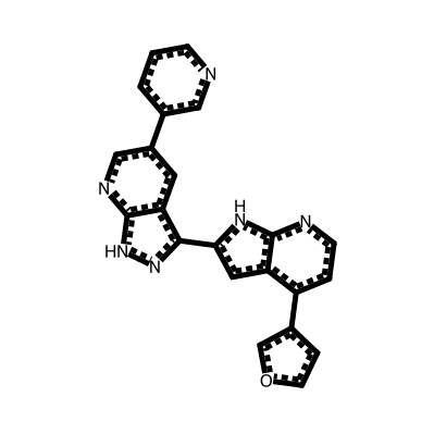 c1cncc(-c2cnc3[nH]nc(-c4cc5c(-c6ccoc6)ccnc5[nH]4)c3c2)c1